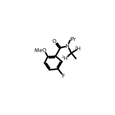 [2H]C([2H])(C)N(C(=O)c1cc(F)ccc1OC)C(C)C